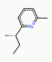 CC[C@H](C)c1cccc(C)n1